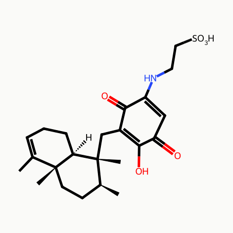 CC1=CCC[C@H]2[C@](C)(CC3=C(O)C(=O)C=C(NCCS(=O)(=O)O)C3=O)[C@@H](C)CC[C@]12C